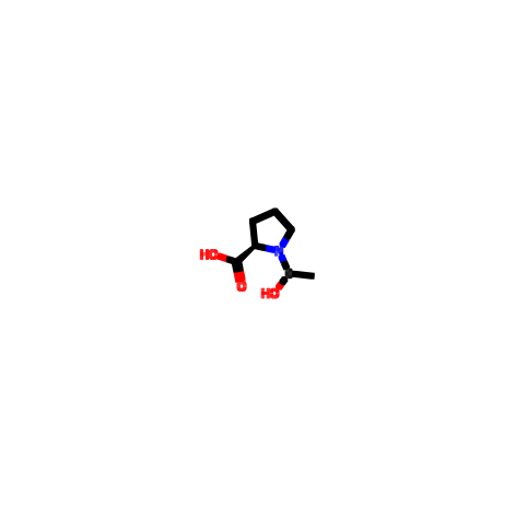 CB(O)N1CCC[C@@H]1C(=O)O